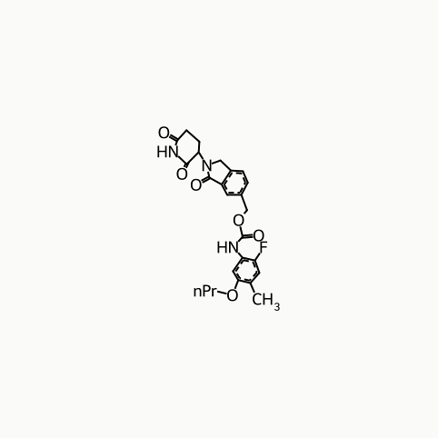 CCCOc1cc(NC(=O)OCc2ccc3c(c2)C(=O)N(C2CCC(=O)NC2=O)C3)c(F)cc1C